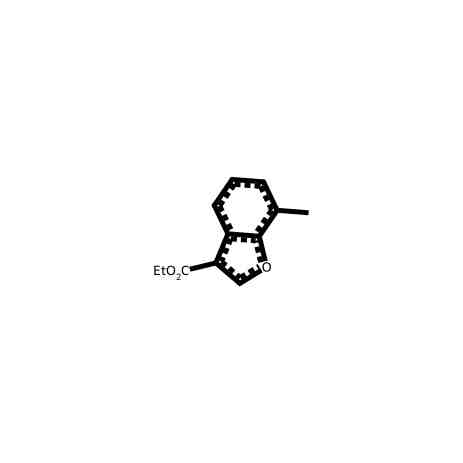 CCOC(=O)c1coc2c(C)cccc12